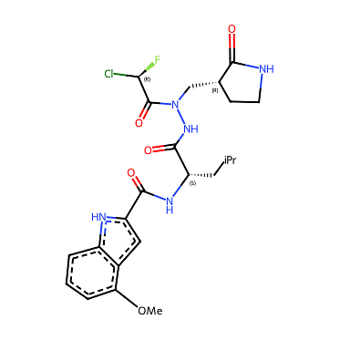 COc1cccc2[nH]c(C(=O)N[C@@H](CC(C)C)C(=O)NN(C[C@H]3CCNC3=O)C(=O)[C@H](F)Cl)cc12